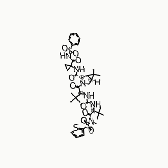 CN(C(=O)[C@@H](NC(=O)N[C@H](C(=O)N1C[C@H]2C([C@H]1C(=O)NC1(C(=O)NS(=O)(=O)c3ccccc3)CC1)C2(C)C)C(C)(C)C)C(C)(C)C)S(=O)(=O)c1cccs1